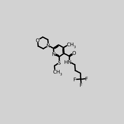 CCSc1nc(N2CCOCC2)cc(C)c1C(=O)NCCCC(F)(F)F